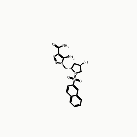 NC(=O)c1nnn(C[C@@H]2C[C@@H](S)CN2S(=O)(=O)c2ccc3ccccc3c2)c1N